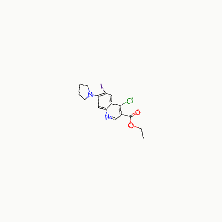 CCOC(=O)c1cnc2cc(N3CCCC3)c(I)cc2c1Cl